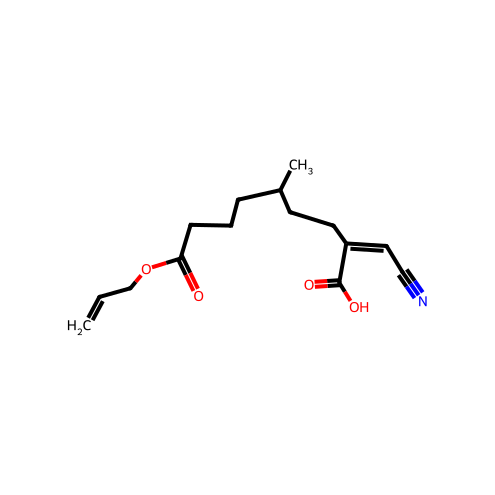 C=CCOC(=O)CCCC(C)CCC(=CC#N)C(=O)O